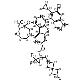 C[C@@]1(O)COCCN(c2nc(OC[C@]3(CN4CC5(CC(F)C5)C4)CC3(F)F)nc3sc4c(-c5c(C6CC6)c(Cl)cc6[nH]ncc56)nccc4c23)C1